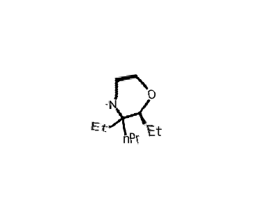 CCCC1(CC)[N]CCOC1CC